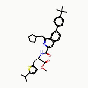 COC(=O)[C@H](Cc1ccc(C(C)C)s1)NC(=O)c1cc2ccc(-c3ccc(C(C)(C)C)cc3)cc2c(CC2CCCC2)n1